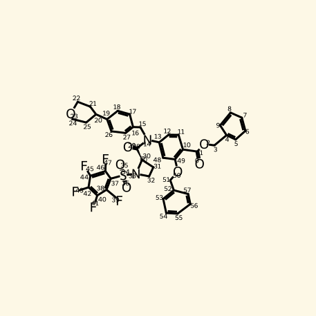 O=C(OCc1ccccc1)c1ccc(N(Cc2ccc(C3CCOCC3)cc2)C(=O)[C@H]2CCN2S(=O)(=O)c2c(F)c(F)c(F)c(F)c2F)cc1OCc1ccccc1